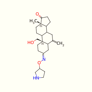 C=C1CC2C(CC[C@]3(C)C(=O)CCC23)[C@@]2(CO)CCC(=NOC3CCNC3)CC12